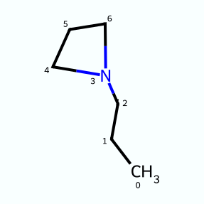 CC[CH]N1CCC1